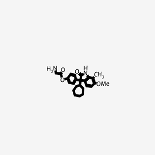 COc1ccc2c(c1C)NC(=O)C2(c1ccc(OC(=O)CN)cc1)C1CCCCCC1